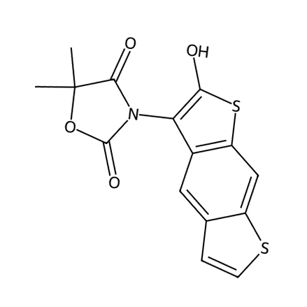 CC1(C)OC(=O)N(c2c(O)sc3cc4sccc4cc23)C1=O